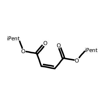 CCCC(C)OC(=O)/C=C\C(=O)OC(C)CCC